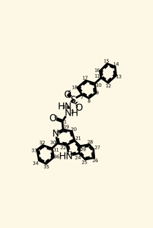 O=C(NNS(=O)(=O)c1ccc(-c2ccccc2)cc1)c1cc2c([nH]c3ccccc32)c(-c2ccccc2)n1